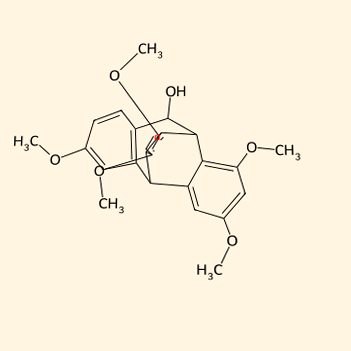 COc1ccc2c(c1)C1c3cc(OC)cc(OC)c3C(c3cc(OC)cc(OC)c31)C2O